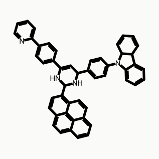 C1=CC2c3ccccc3N(c3ccc(C4C=C(c5ccc(-c6ccccn6)cc5)NC(c5ccc6ccc7cccc8ccc5c6c78)N4)cc3)C2C=C1